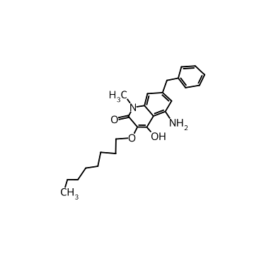 CCCCCCCCOc1c(O)c2c(N)cc(Cc3ccccc3)cc2n(C)c1=O